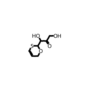 O=C(CO)C(O)C1OCC=CS1